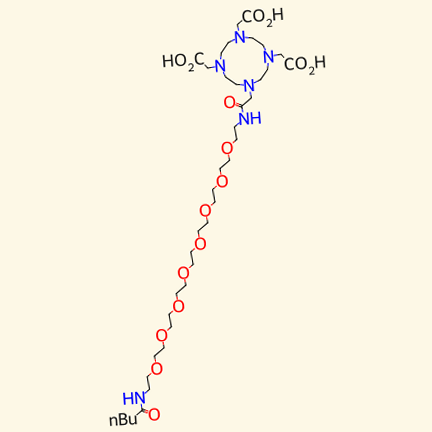 CCCCC(=O)NCCOCCOCCOCCOCCOCCOCCOCCOCCNC(=O)CN1CCN(CC(=O)O)CCN(CC(=O)O)CCN(CC(=O)O)CC1